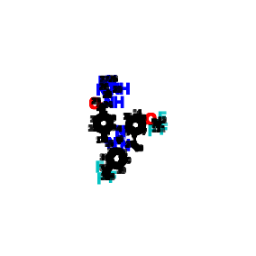 CCn1/c(=N\c2ccc(OC(F)(F)F)cc2)n(Cc2ccc(C(=O)Nc3nnn[nH]3)cc2)c2cc(C(F)(F)F)ccc21